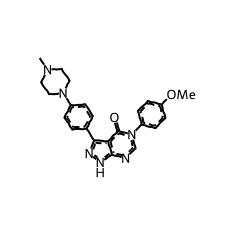 COc1ccc(-n2cnc3[nH]nc(-c4ccc(N5CCN(C)CC5)cc4)c3c2=O)cc1